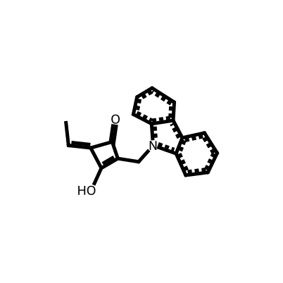 C/C=C1\C(=O)C(Cn2c3ccccc3c3ccccc32)=C1O